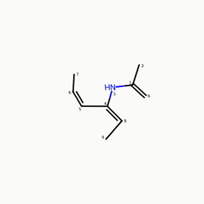 C=C(C)NC(/C=C\C)=C/C